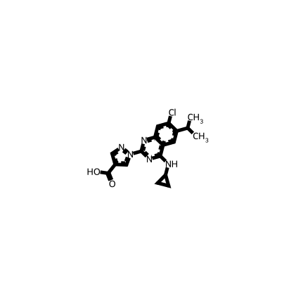 CC(C)c1cc2c(NC3CC3)nc(-n3cc(C(=O)O)cn3)nc2cc1Cl